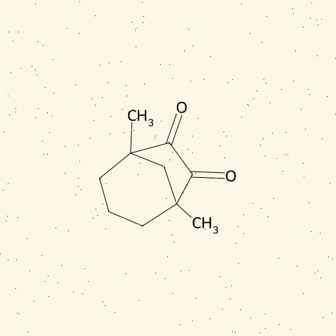 CC12CCCC(C)(C1)C(=O)C2=O